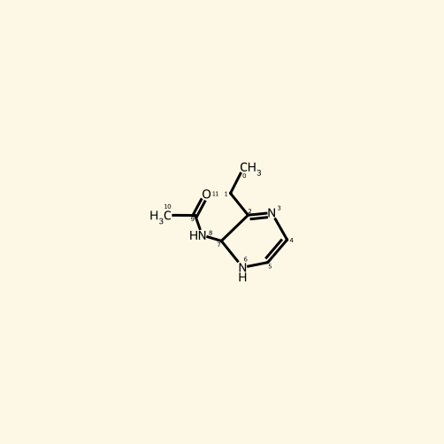 CCC1=NC=CN[C]1NC(C)=O